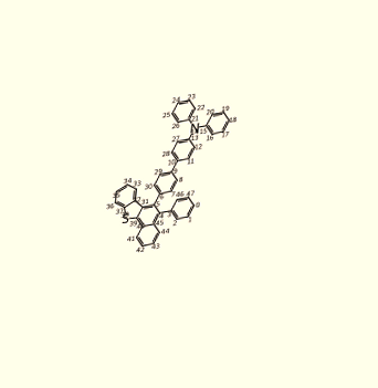 c1ccc(-c2c(-c3ccc(-c4ccc(N(c5ccccc5)c5ccccc5)cc4)cc3)c3c4ccccc4sc3c3ccccc23)cc1